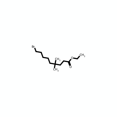 CCOC(=O)CCC(C)(C)CCCCCBr